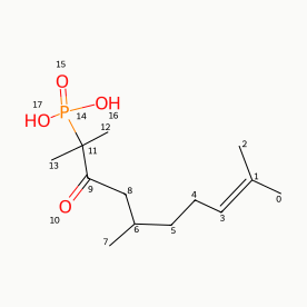 CC(C)=CCCC(C)CC(=O)C(C)(C)P(=O)(O)O